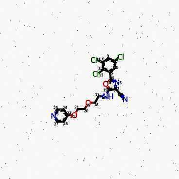 N#Cc1nc(-c2cc(Cl)cc(Cl)c2Cl)oc1NCCOCCOc1ccncc1